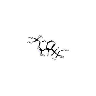 C/C(=N/[S+]([O-])C(C)(C)C)c1cccc(C(F)(F)C(C)(O)CO)c1F